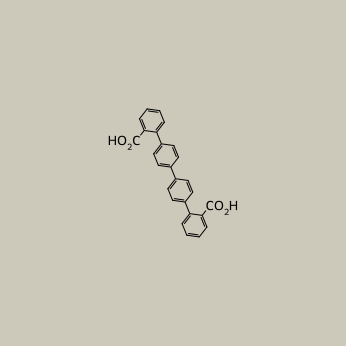 O=C(O)c1ccccc1-c1ccc(-c2ccc(-c3ccccc3C(=O)O)cc2)cc1